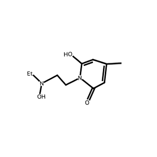 CCN(O)CCn1c(O)cc(C)cc1=O